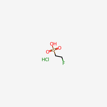 Cl.O=S(=O)(O)CCF